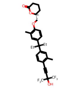 CCC(CC)(c1ccc(C#CC(O)(C(F)(F)F)C(F)(F)F)c(C)c1)c1ccc(OC[C@H]2CCCC(=O)O2)c(C)c1